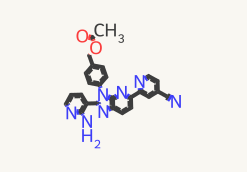 CC(=O)OCc1ccc(-n2c(-c3cccnc3N)nc3ccc(-c4cc(C#N)ccn4)nc32)cc1